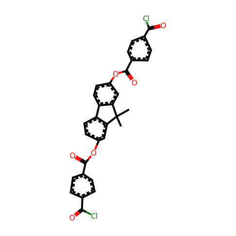 CC1(C)c2cc(OC(=O)c3ccc(C(=O)Cl)cc3)ccc2-c2ccc(OC(=O)c3ccc(C(=O)Cl)cc3)cc21